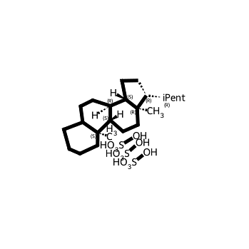 CCC[C@@H](C)[C@H]1CC[C@H]2[C@@H]3CCC4CCCC[C@]4(C)[C@H]3CC[C@]12C.O=S(=O)(O)O.O=S(=O)(O)O.O=S(=O)(O)O